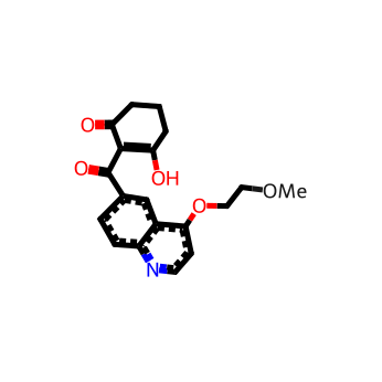 COCCOc1ccnc2ccc(C(=O)C3=C(O)CCCC3=O)cc12